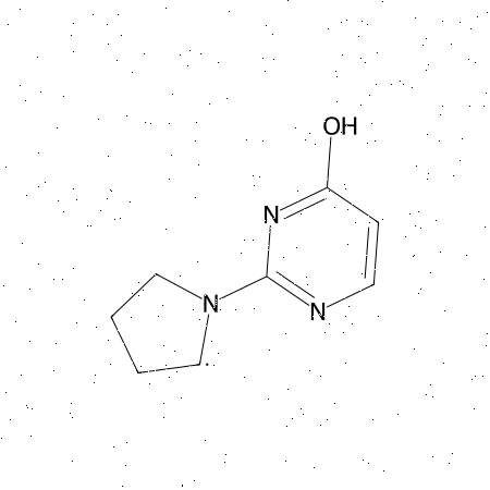 Oc1ccnc(N2[CH]CCC2)n1